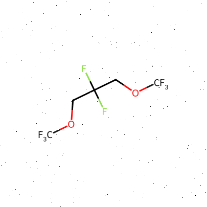 FC(F)(COC(F)(F)F)COC(F)(F)F